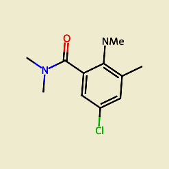 CNc1c(C)cc(Cl)cc1C(=O)N(C)C